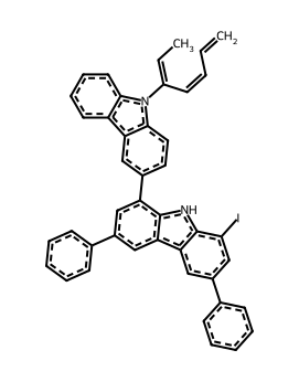 C=C/C=C\C(=C/C)n1c2ccccc2c2cc(-c3cc(-c4ccccc4)cc4c3[nH]c3c(I)cc(-c5ccccc5)cc34)ccc21